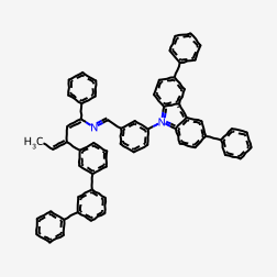 C\C=C(/C=C(\N=C\c1cccc(-n2c3ccc(-c4ccccc4)cc3c3cc(-c4ccccc4)ccc32)c1)c1ccccc1)c1cccc(-c2cccc(-c3ccccc3)c2)c1